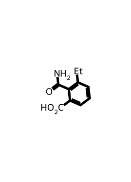 CCc1cccc(C(=O)O)c1C(N)=O